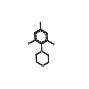 Cc1cc(F)c(N2CCOCC2)c(F)c1